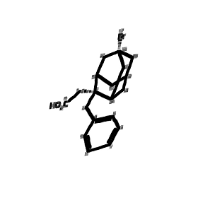 O=C(O)C[C@]1(Cc2ccccc2)C2CC3CC1C[C@](Br)(C3)C2